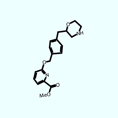 COC(=O)c1cccc(OCc2ccc(CC3CNCCO3)cc2)n1